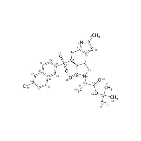 Cc1nc(CN([C@H]2CCN([C@@H](C)C(=O)OC(C)(C)C)C2=O)S(=O)(=O)c2ccc3cc(Cl)ccc3c2)cs1